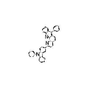 c1ccc(-c2c3ccccc3nc3c2ccc2ccc(-c4ccc5c(c4)c4ccccc4n5-c4ccccc4)nc23)cc1